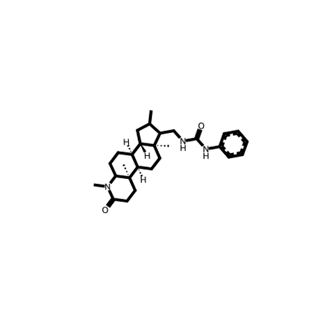 CC1C[C@H]2[C@@H]3CCC4N(C)C(=O)CC[C@]4(C)[C@@H]3CC[C@]2(C)C1CNC(=O)Nc1ccccc1